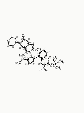 Cc1nc(N[C@H](C)c2cc(-c3ccccc3CN(C)C(=O)OC(C)(C)C)cs2)c2cn(N3CCOCC3)c(=O)cc2n1